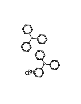 [BH4-].[Cu+].c1ccc(P(c2ccccc2)c2ccccc2)cc1.c1ccc(P(c2ccccc2)c2ccccc2)cc1